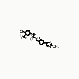 Cc1ncc(-c2ccc(CNC(=O)Nc3ccc(Cl)c(C(F)(F)F)c3)cc2)cn1